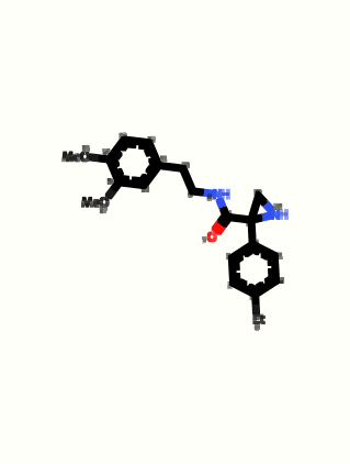 CCc1ccc(C2(C(=O)NCCc3ccc(OC)c(OC)c3)CN2)cc1